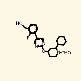 O=CN1CCC(Oc2ncc(-c3cccc(CO)c3F)cn2)CC1C1CCCCC1